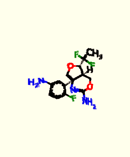 CC(F)(F)[C@H]1OC[C@]2(c3cc(N)ccc3F)N=C(N)OC[C@H]12